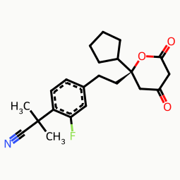 CC(C)(C#N)c1ccc(CC[C@]2(C3CCCC3)CC(=O)CC(=O)O2)cc1F